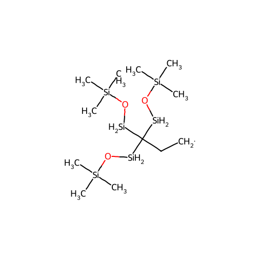 [CH2]CC([SiH2]O[Si](C)(C)C)([SiH2]O[Si](C)(C)C)[SiH2]O[Si](C)(C)C